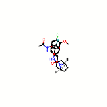 COc1cc(C=CC(=O)N2[C@@H]3CC[C@H]2C[C@@H](Nc2ccc(F)cc2)C3)c(NC(C)=O)cc1Cl